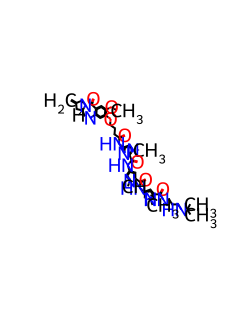 C=C1C[C@H]2C=Nc3cc(OCCCC(=O)Nc4cn(C)c(C(=O)Nc5cc(C(=O)Nc6cc(C(=O)NCCCNC(C)C)n(C)c6)n(C)c5)n4)c(OC)cc3C(=O)N2C1